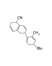 CC1=CC(C(C)(C)C)CC=C1C1C=CC2=C(C=CCC2C#N)C1